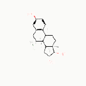 C[C@]12CC[C@@H]3c4ccc(O)cc4CC[C@H]3[C@@H]1C[C@@H](O)[C@@H]2O.[Cl][Hg]